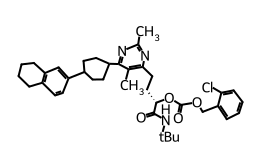 Cc1nc(CC[C@H](OC(=O)OCc2ccccc2Cl)C(=O)NC(C)(C)C)c(C)c(C2CCC(c3ccc4c(c3)CCCC4)CC2)n1